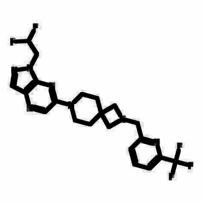 FC(F)Cn1ncc2ncc(N3CCC4(CC3)CN(Cc3cccc(C(F)(F)F)n3)C4)nc21